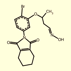 CC(CC=NO)Oc1cc(N2C(=O)C3=C(CCCC3)C2=O)ccc1Br